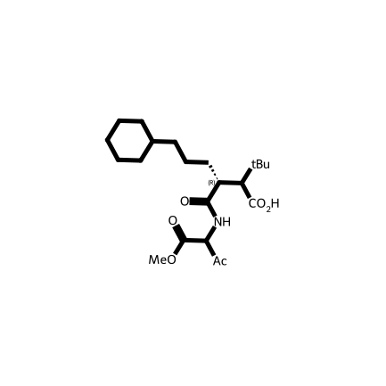 COC(=O)C(NC(=O)[C@H](CCCC1CCCCC1)C(C(=O)O)C(C)(C)C)C(C)=O